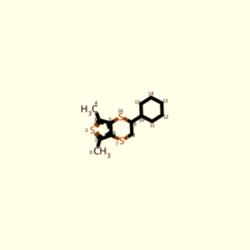 Cc1sc(C)c2c1SCC(C1CCCCC1)S2